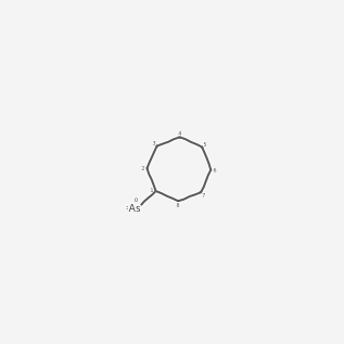 [As]C1CCCCCCC1